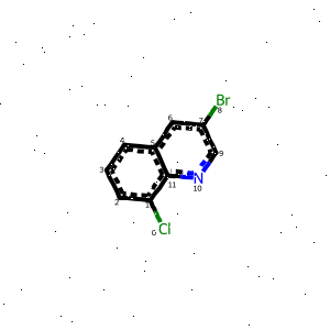 Clc1cccc2cc(Br)cnc12